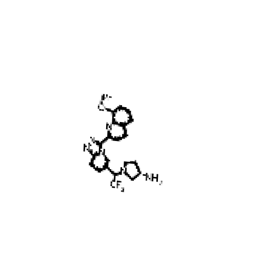 CC(C)Oc1cccc2ccc(-c3nnc4ccc([C@@H](N5CC[C@H](N)C5)C(F)(F)F)cn34)nc12